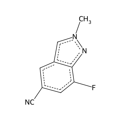 Cn1cc2cc(C#N)cc(F)c2n1